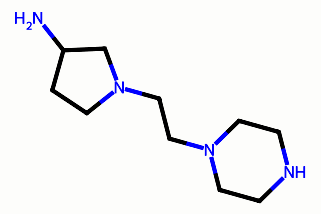 NC1CCN(CCN2CCNCC2)C1